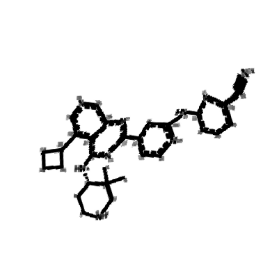 CC1(C)CNCC[C@@H]1Nc1nc(-c2ccnc(Nc3cccc(C#N)n3)c2)nc2cncc(C3CCC3)c12